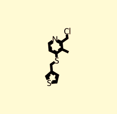 Cc1c(SCc2ccsc2)ccnc1CCl